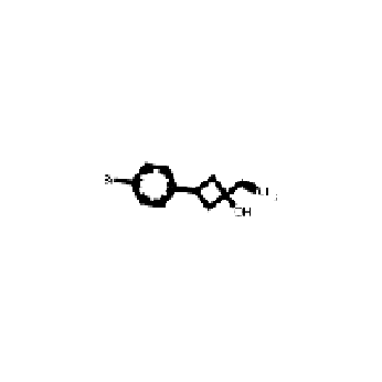 C=CC1(O)CC(c2ccc(Br)cc2)C1